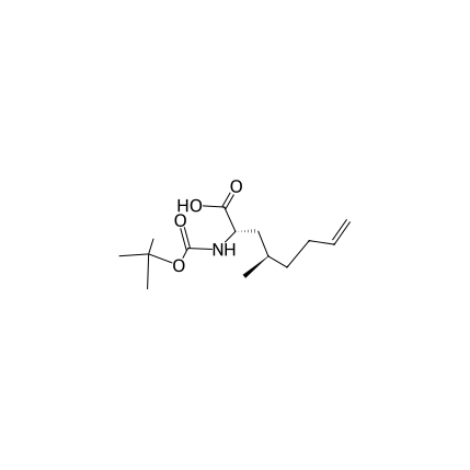 C=CCC[C@@H](C)C[C@H](NC(=O)OC(C)(C)C)C(=O)O